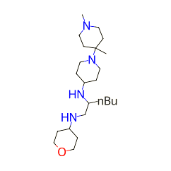 CCCCC(CNC1CCOCC1)NC1CCN(C2(C)CCN(C)CC2)CC1